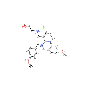 COc1ccc(CN(Cc2ccc(OC)cc2)c2nccc(F)c2CNCCO)cc1